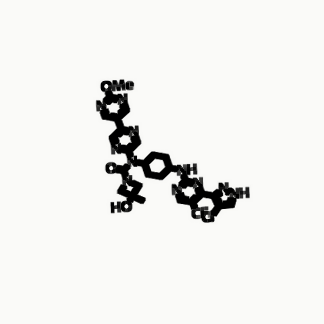 COc1ncc(-c2cnc(N(C(=O)N3CC(C)(O)C3)C3CCC(Nc4ncc(C(F)(F)F)c(-c5n[nH]cc5Cl)n4)CC3)cn2)cn1